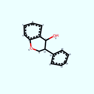 OC1c2ccccc2OCC1c1ccccc1